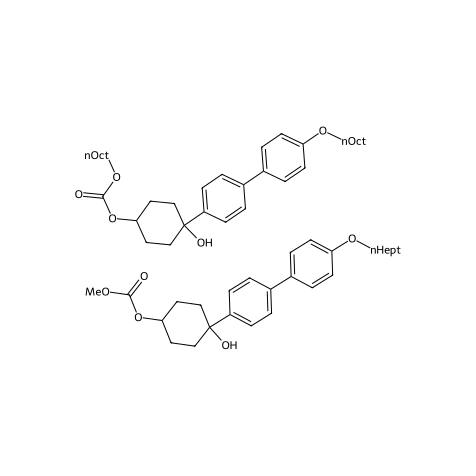 CCCCCCCCOC(=O)OC1CCC(O)(c2ccc(-c3ccc(OCCCCCCCC)cc3)cc2)CC1.CCCCCCCOc1ccc(-c2ccc(C3(O)CCC(OC(=O)OC)CC3)cc2)cc1